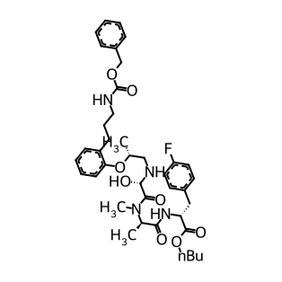 CCCCOC(=O)[C@@H](Cc1ccc(F)cc1)NC(=O)[C@@H](C)N(C)C(=O)[C@H](O)NC[C@@H](C)Oc1ccccc1CCCNC(=O)OCc1ccccc1